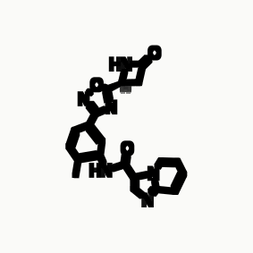 Cc1ccc(-c2noc([C@@H]3CC(=O)N3)n2)cc1NC(=O)c1cnc2ccccn12